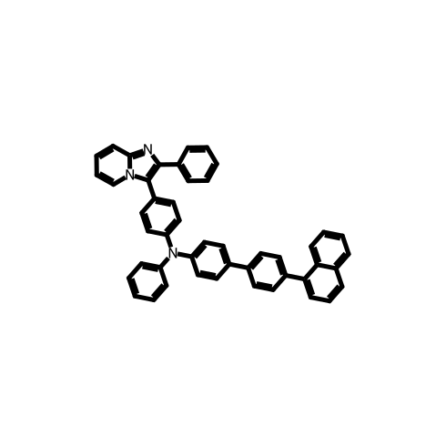 c1ccc(-c2nc3ccccn3c2-c2ccc(N(c3ccccc3)c3ccc(-c4ccc(-c5cccc6ccccc56)cc4)cc3)cc2)cc1